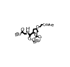 COCCOC1CC(C(=O)NCC(=O)C(C)(C)C)N(C(=O)OC(C)(C)C)C1